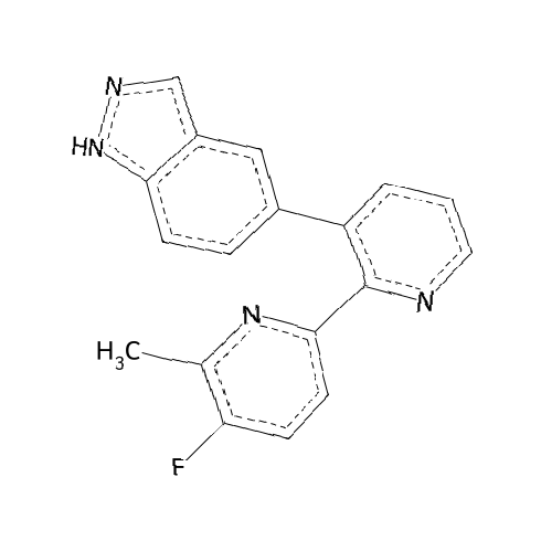 Cc1nc(-c2ncccc2-c2ccc3[nH]ncc3c2)ccc1F